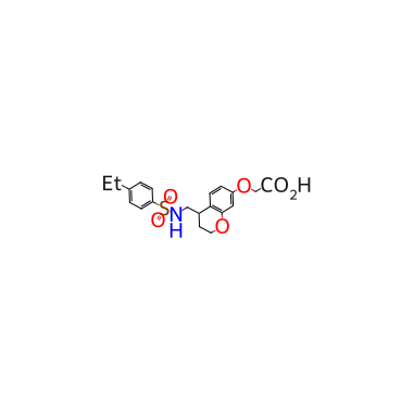 CCc1ccc(S(=O)(=O)NCC2CCOc3cc(OCC(=O)O)ccc32)cc1